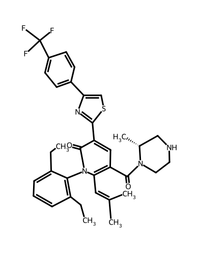 CCc1cccc(CC)c1-n1c(C=C(C)C)c(C(=O)N2CCNC[C@H]2C)cc(-c2nc(-c3ccc(C(F)(F)F)cc3)cs2)c1=O